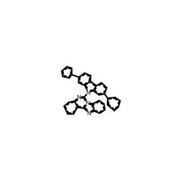 c1ccc(-c2ccc3c4ccc(-c5ccccc5)cc4n(-c4nc5ccccc5c5nc6ccccc6n45)c3c2)cc1